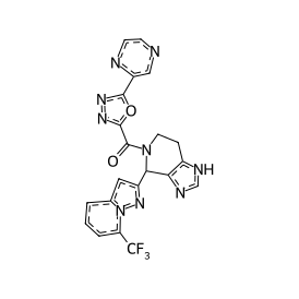 O=C(c1nnc(-c2cnccn2)o1)N1CCc2[nH]cnc2C1c1cc2cccc(C(F)(F)F)n2n1